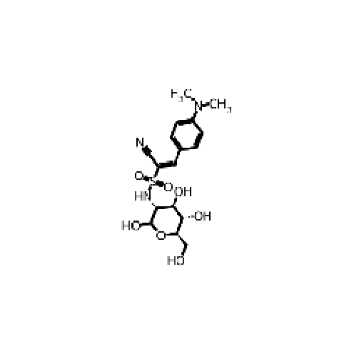 CN(C)c1ccc(/C=C(\C#N)S(=O)(=O)N[C@H]2C(O)O[C@H](CO)[C@@H](O)[C@@H]2O)cc1